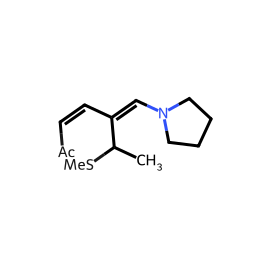 CSC(C)C(/C=C\C(C)=O)=C\N1CCCC1